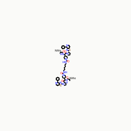 CN[C@@H](C)C(=O)N[C@H](C(=O)C1CCCN1c1nc2c(-c3ccccc3)nccc2s1)C1CCN(C(=O)NCCCCCCNC(=O)N2CCC([C@H](NC(=O)[C@H](C)NC)C(=O)N3CCC[C@H]3c3nc4c(-c5ccccc5)nccc4s3)CC2)CC1